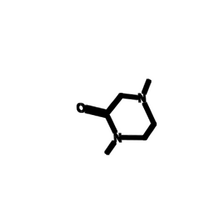 CN1CCN(C)C(=O)C1